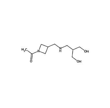 CC(=O)N1CC(CNCC(CO)CO)C1